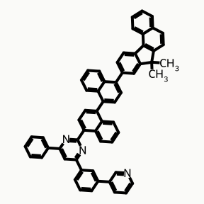 CC1(C)c2cc(-c3ccc(-c4ccc(-c5nc(-c6ccccc6)cc(-c6cccc(-c7cccnc7)c6)n5)c5ccccc45)c4ccccc34)ccc2-c2c1ccc1ccccc21